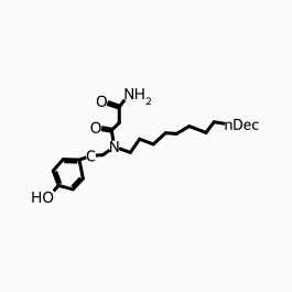 CCCCCCCCCCCCCCCCCCN(CCc1ccc(O)cc1)C(=O)CC(N)=O